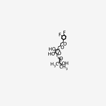 C[C@H]([C@@H]1O[C@H]1C[C@@H]1OC[C@H](CC(=O)CC(=O)c2ccc(F)c(F)c2)[C@@H](O)[C@H]1O)[C@H](C)O